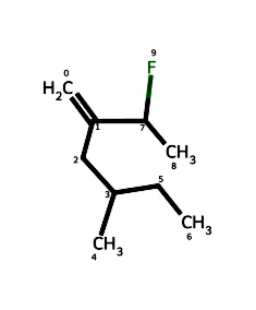 C=C(CC(C)CC)C(C)F